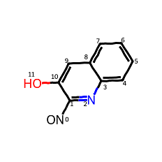 O=Nc1nc2ccccc2cc1O